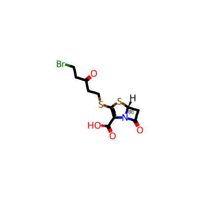 O=C(CCBr)CCSC1=C(C(=O)O)N2C(=O)C[C@H]2S1